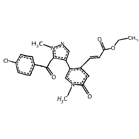 CCOC(=O)/C=C/c1cc(=O)n(C)cc1-c1cnn(C)c1C(=O)c1ccc(Cl)cc1